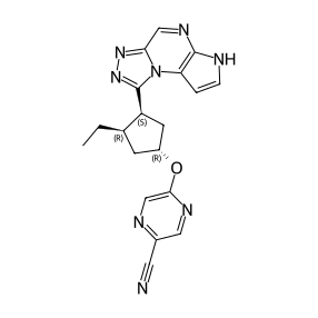 CC[C@@H]1C[C@@H](Oc2cnc(C#N)cn2)C[C@@H]1c1nnc2cnc3[nH]ccc3n12